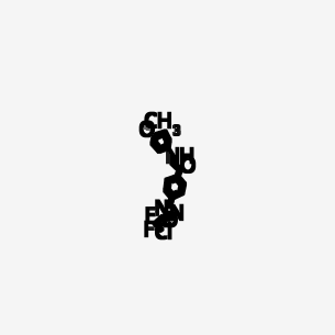 COc1ccc(NCC(=O)c2ccc(-c3noc(C(F)(F)Cl)n3)cc2)cc1